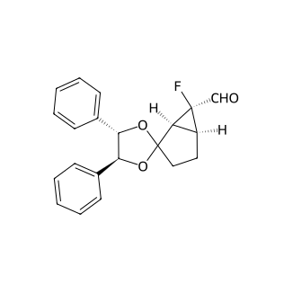 O=C[C@]1(F)[C@H]2CCC3(O[C@@H](c4ccccc4)[C@H](c4ccccc4)O3)[C@H]21